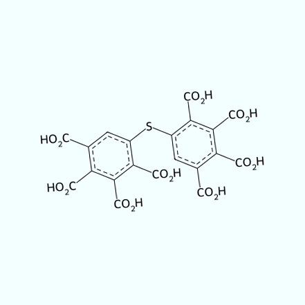 O=C(O)c1cc(Sc2cc(C(=O)O)c(C(=O)O)c(C(=O)O)c2C(=O)O)c(C(=O)O)c(C(=O)O)c1C(=O)O